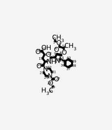 CCOC(=O)C(C)Oc1cc(C(=O)NC(CCC(=O)O)C(=O)N2CCN(C(=O)OCC)CC2)nn1-c1ccccc1